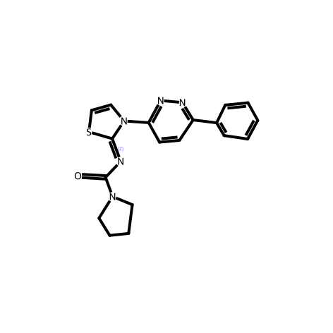 O=C(/N=c1\sccn1-c1ccc(-c2ccccc2)nn1)N1CCCC1